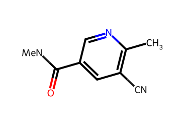 CNC(=O)c1cnc(C)c(C#N)c1